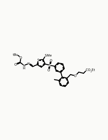 CCOC(=O)CCOCc1cccc(C)c1-c1cccc(S(=O)(=O)c2cc(C=NNC(=O)OC(C)(C)C)sc2SC)c1